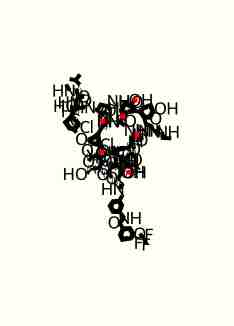 CCNNC(=O)C1NC(=O)[C@H]2NC(=O)[C@H](NC(=O)[C@@H]3NC(=O)C(CC(N)=O)NC(=O)C(NC(=O)[C@@H](CC(C)C)NC)[C@H](O)c4ccc(c(Cl)c4)Oc4cc3cc(c4O[C@@H]3O[C@H](CO)[C@@H](O[C@@H]4O[C@H](CNCc5cccc(NC(=O)c6cccc(OC(F)(F)F)c6)c5)[C@H](O)[C@H](O)[C@H]4O)[C@H](O)[C@H]3O)Oc3ccc(cc3Cl)[C@H]2O[C@H]2C[C@](C)(N)[C@@H](O)[C@H](C)O2)c2ccc(O)c(c2)-c2c(O)cc(O)cc21